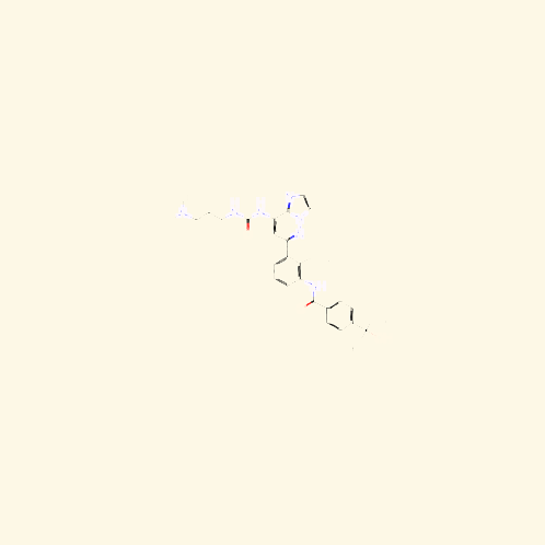 Cc1c(NC(=O)c2ccc(C(C)(O)C(F)(F)F)cc2)cccc1-c1cc(NC(=O)NCCCN(C)C)c2nccn2n1